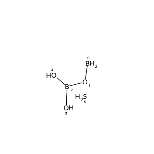 BOB(O)O.S